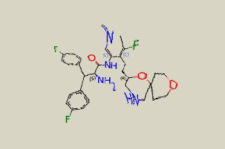 C=N/C=C(NC(=O)[C@@H](N)C(c1ccc(F)cc1)c1ccc(F)cc1)\C(CC[C@@H]1CNCC2(CCOCC2)O1)=C(/C)F